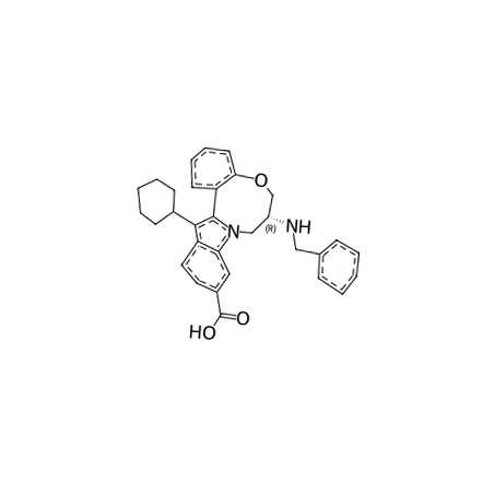 O=C(O)c1ccc2c(C3CCCCC3)c3n(c2c1)C[C@@H](NCc1ccccc1)COc1ccccc1-3